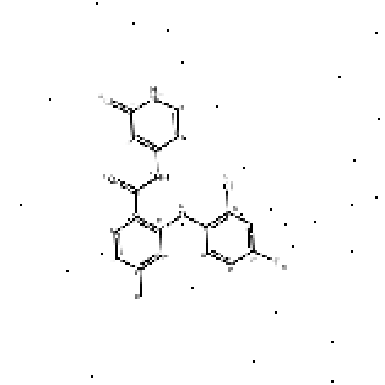 Cc1ccc(C(=O)Nc2cc[nH]c(=O)c2)c(Oc2ccc(F)cc2Cl)c1